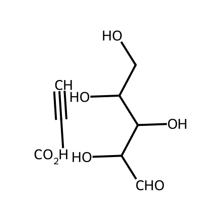 C#CC(=O)O.O=CC(O)C(O)C(O)CO